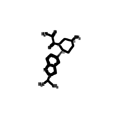 CC(C)n1cc2cc([C@H]3CC[C@H](C)CN3C(=O)C(N)=O)ccc2n1